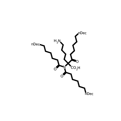 CCCCCCCCCCCCCCCC(=O)N(C(=O)CCCCCCCCCCCCCCC)C(CCCCN)(C(=O)O)C(=O)CCCCCCCCCCCCCCC